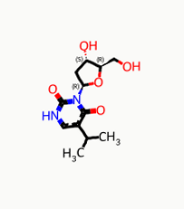 CC(C)c1c[nH]c(=O)n([C@H]2C[C@H](O)[C@@H](CO)O2)c1=O